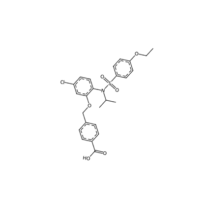 CCOc1ccc(S(=O)(=O)N(c2ccc(Cl)cc2OCc2ccc(C(=O)O)cc2)C(C)C)cc1